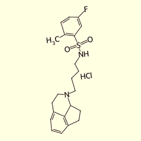 Cc1ccc(F)cc1S(=O)(=O)NCCCCN1CCc2cccc3c2C1CC3.Cl